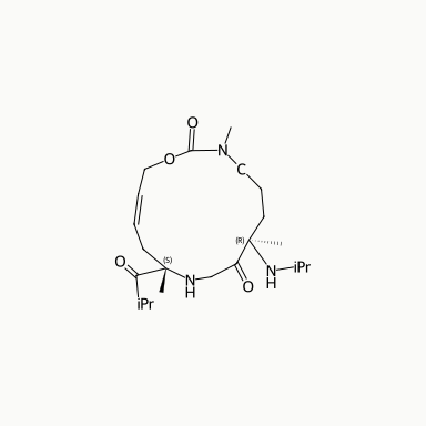 CC(C)N[C@]1(C)CCCN(C)C(=O)OCC=CC[C@@](C)(C(=O)C(C)C)NCC1=O